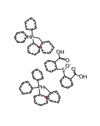 O=C(O)c1ccccc1[S+]([O-])c1ccccc1C(=O)O.c1ccc(C[PH](c2ccccc2)(c2ccccc2)c2ccccc2)cc1.c1ccc(C[PH](c2ccccc2)(c2ccccc2)c2ccccc2)cc1